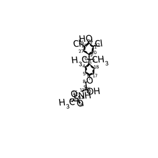 CC(C)(c1ccc(OC[C@H](O)CNS(C)(=O)=O)cc1)c1cc(Cl)c(O)c(Cl)c1